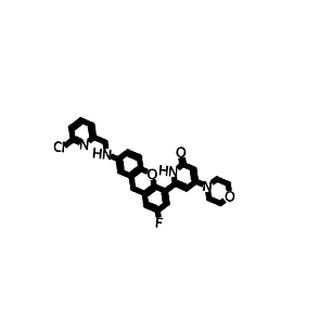 O=c1cc(N2CCOCC2)cc(-c2cc(F)cc3c2Oc2ccc(NCc4cccc(Cl)n4)cc2C3)[nH]1